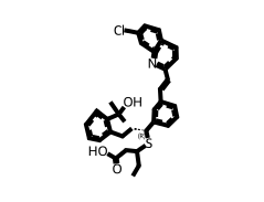 CCC(CC(=O)O)S[C@H](CCc1ccccc1C(C)(C)O)c1cccc(C=Cc2ccc3ccc(Cl)cc3n2)c1